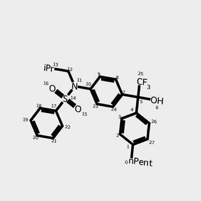 CCCCCc1ccc(C(O)(c2ccc(N(CC(C)C)S(=O)(=O)c3ccccc3)cc2)C(F)(F)F)cc1